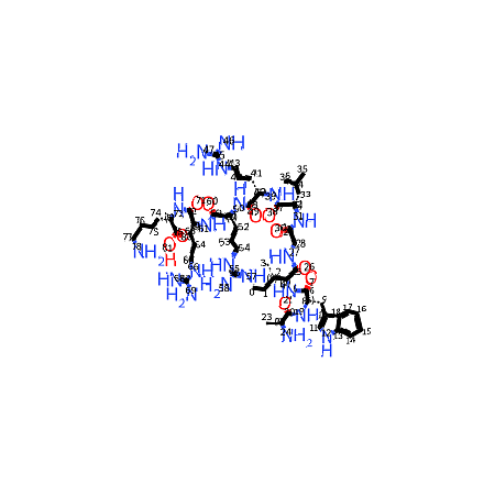 CC[C@H](C)[C@H](NC(=O)[C@H](Cc1c[nH]c2ccccc12)NC(=O)[C@H](C)N)C(=O)NCC(=O)N[C@@H](CC(C)C)C(=O)N[C@@H](CCCNC(=N)N)C(=O)N[C@@H](CCCNC(=N)N)C(=O)N[C@@H](CCCNC(=N)N)C(=O)N[C@@H](CCCCN)C(=O)O